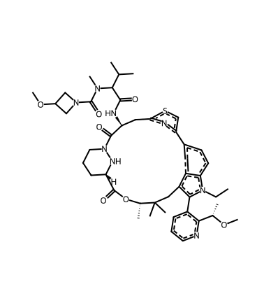 CCn1c(-c2cccnc2[C@H](C)OC)c2c3cc(ccc31)-c1csc(n1)C[C@H](NC(=O)C(C(C)C)N(C)C(=O)N1CC(OC)C1)C(=O)N1CCC[C@H](N1)C(=O)O[C@@H](C)C(C)(C)C2